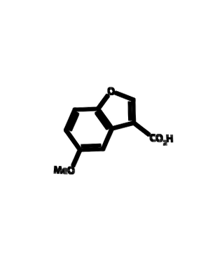 COc1ccc2occ(C(=O)O)c2c1